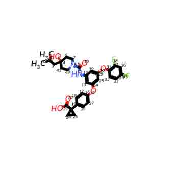 CC(C)CC1(O)CCN(C(=O)Nc2cc(Oc3ccc(C4(C(=O)O)CC4)cc3)cc(Oc3ccc(F)cc3F)c2)CC1